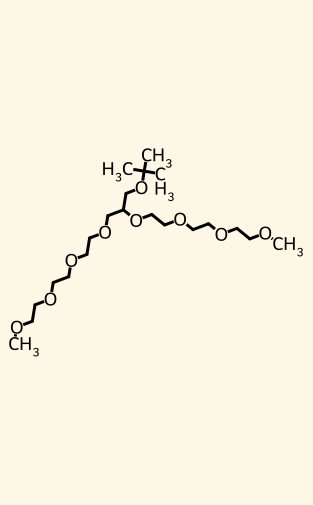 COCCOCCOCCOCC(COC(C)(C)C)OCCOCCOCCOC